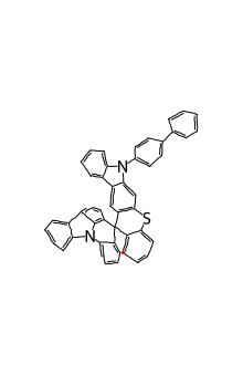 c1ccc(-c2ccc(-n3c4ccccc4c4cc5c(cc43)Sc3ccccc3C53c4ccccc4-n4c5ccccc5c5cccc3c54)cc2)cc1